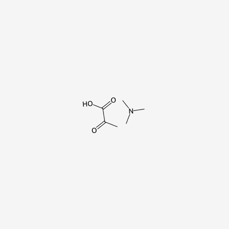 CC(=O)C(=O)O.CN(C)C